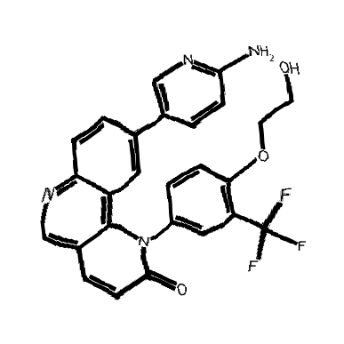 Nc1ccc(-c2ccc3ncc4ccc(=O)n(-c5ccc(OCCO)c(C(F)(F)F)c5)c4c3c2)cn1